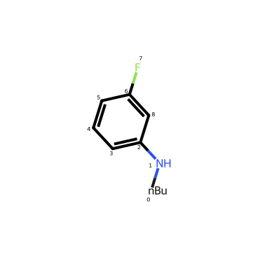 CCCCNc1cccc(F)c1